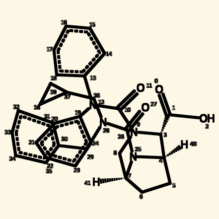 O=C(O)[C@@H]1[C@H]2CC[C@@H](CN1C(=O)N(c1ccccc1)c1ccccc1)N2C(=O)N(Cc1ccccc1)CC1CC1